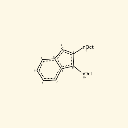 CCCCCCCCc1sc2ccccc2c1CCCCCCCC